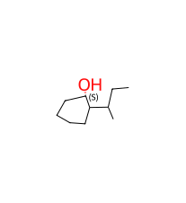 CCC(C)C1CCCC[C@@H]1O